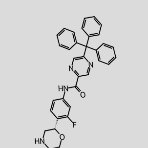 O=C(Nc1ccc([C@H]2CNCCO2)c(F)c1)c1cnc(C(c2ccccc2)(c2ccccc2)c2ccccc2)cn1